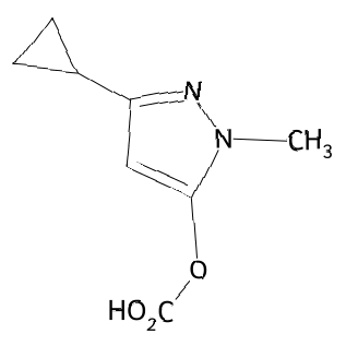 Cn1nc(C2CC2)cc1OC(=O)O